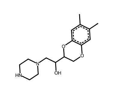 Cc1cc2c(cc1C)OC(C(O)CN1CCNCC1)CO2